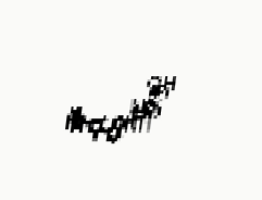 Cc1cc(-c2nnn(C)n2)cc(C)c1-c1cccc2c1CC[C@H]2Nc1cnc2c(c1)OC[C@H]2CC(=O)O